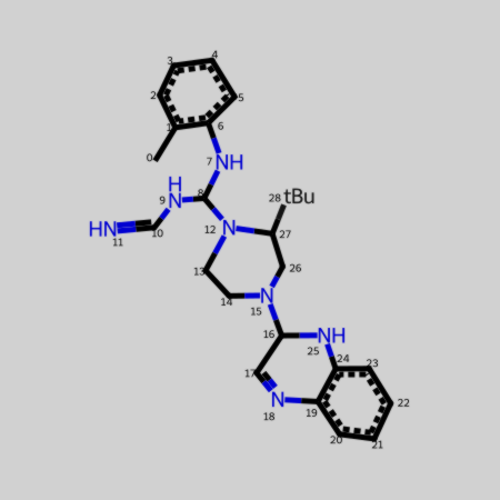 Cc1ccccc1NC(NC=N)N1CCN(C2C=Nc3ccccc3N2)CC1C(C)(C)C